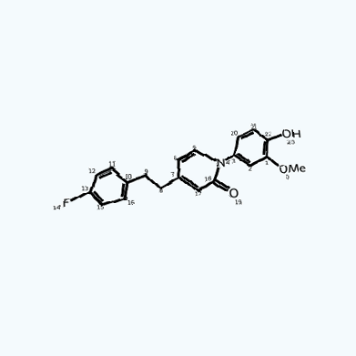 COc1cc(-n2ccc(CCc3ccc(F)cc3)cc2=O)ccc1O